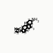 C[C@]12CC[C@H]3[C@@H](CC=C4C[C@H](N)CC[C@@]43C)C1=CC=C2n1ccnc1